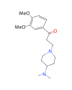 COc1ccc(C(=O)CCN2CCC(N(C)C)CC2)cc1OC